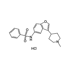 CN1CCC(c2coc3ccc(NS(=O)(=O)c4ccccc4)cc23)CC1.Cl